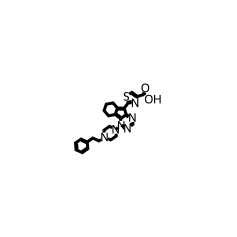 O=C(O)c1csc(-c2c3ncnn(N4CCN(CCc5ccccc5)CC4)c-3c3c2CCCC3)n1